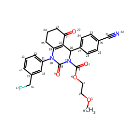 COCCOC(=O)N1C(=O)N(c2cccc(CF)c2)C2=C(C(=O)CCC2)C1c1ccc(C#N)cc1